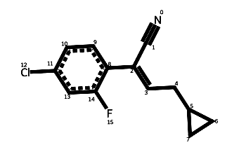 N#CC(=CCC1CC1)c1ccc(Cl)cc1F